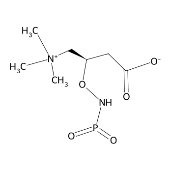 C[N+](C)(C)C[C@@H](CC(=O)[O-])ONP(=O)=O